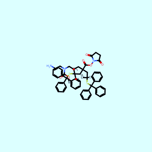 CC(C)(C)OC(=O)N(CCN)CCCC(CC(C)(C)SC(c1ccccc1)(c1ccccc1)c1ccccc1)(CC(C)(C)SC(c1ccccc1)(c1ccccc1)c1ccccc1)C(=O)ON1C(=O)CCC1=O